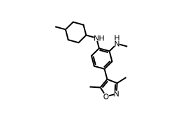 CNc1cc(-c2c(C)noc2C)ccc1NC1CCC(C)CC1